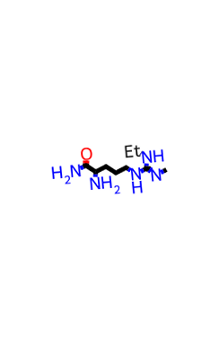 CCN/C(=N\C)NCCCC(N)C(N)=O